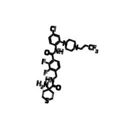 NC1(C(=O)NCc2ccc(C(=O)Nc3ccc(Cl)cc3N3CCN(CCC(F)(F)F)CC3)c(F)c2F)CCSCC1